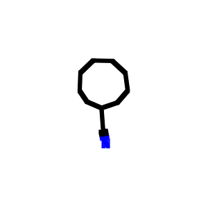 N#CC1CCCCCCCC1